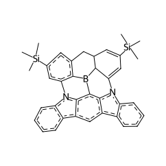 C[Si](C)(C)C1=CC2Cc3cc([Si](C)(C)C)cc4c3B3c5c6c(cc7c8ccccc8n-4c57)c4ccccc4n6C(=C1)C32